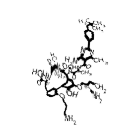 C=C[C@H](CN)COc1cc2cc(c1O)-c1cc(ccc1OCCCN)C[C@@H](C(=O)O)NC(=O)[C@H](C)NC(=O)[C@H]2N(C)C(=O)[C@H](C)NC(=O)c1c(C)nc(-c2ccc(CC(C)(C)C)cc2)nc1N